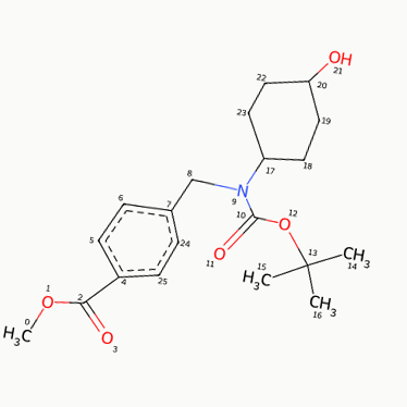 COC(=O)c1ccc(CN(C(=O)OC(C)(C)C)C2CCC(O)CC2)cc1